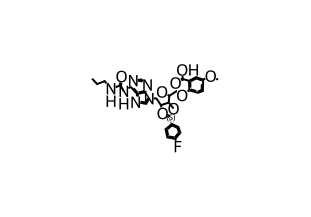 CCCNC(=O)Nc1ncnc2c1ncn2C1OC(COc2ccc(OC)cc2C(=O)O)C2O[C@H](c3ccc(F)cc3)OC21